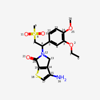 CCOc1cc(C(CS(C)(=O)=O)N2Cc3c(N)csc3C2=O)ccc1OC